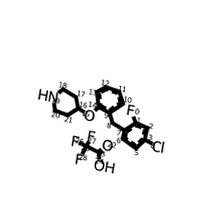 Fc1cc(Cl)ccc1Cc1ccccc1OC1CCNCC1.O=C(O)C(F)(F)F